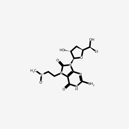 CC[C@H](O)[C@@H]1C[C@@H](O)[C@H](n2c(=O)n(CC[S+](C)[O-])c3c(=O)[nH]c(N)nc32)O1